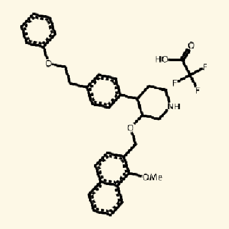 COc1c(COC2CNCCC2c2ccc(CCOc3ccccc3)cc2)ccc2ccccc12.O=C(O)C(F)(F)F